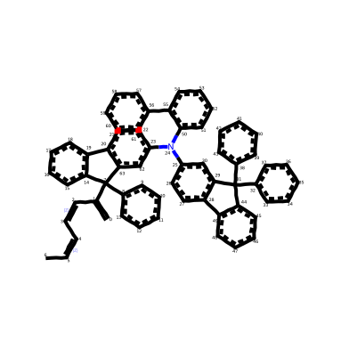 C=C(/C=C\C=C/C)C1(c2ccccc2)c2ccccc2-c2ccc(N(c3ccc4c(c3)C(c3ccccc3)(c3ccccc3)c3ccccc3-4)c3ccccc3-c3ccccc3)cc21